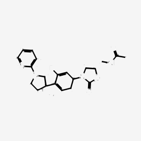 CC(=O)NC[C@H]1CN(C2C=C(F)C([C@@]3(C)CCN(c4ccccn4)C3)=CC2)C(=O)O1